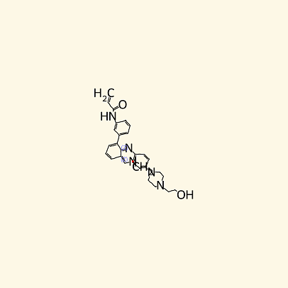 C=CC(=O)Nc1cccc(C2=CC=CC(=C/N=C)/C2=N\c2ccc(N3CCN(CCO)CC3)cc2)c1